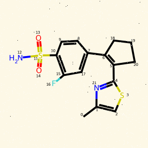 Cc1csc(C2=C(c3ccc(S(N)(=O)=O)c(F)c3)CCC2)n1